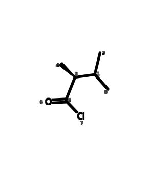 CC(C)[C@H](C)C(=O)Cl